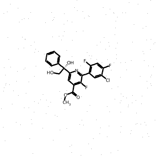 COC(=O)c1cc([C@@](O)(CO)c2ccccc2)nc(-c2cc(Cl)c(F)cc2F)c1F